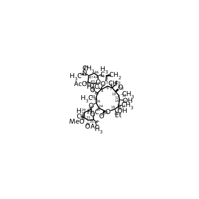 C=CCO[C@]1(C)C[C@](C)(F)C(=O)[C@H](C)[C@@H](O)[C@](C)(O)[C@@H](CC)OC(=O)[C@H](C)[C@@H](OC2C[C@@](C)(OC)[C@@H](OC(C)=O)[C@H](C)O2)[C@H](C)[C@H]1O[C@@H]1O[C@H](C)C[C@H](N(C)C)[C@H]1OC(C)=O